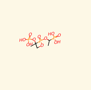 CC(OP1(=O)OCC1(C)OP(=O)(O)O)P(=O)(O)O